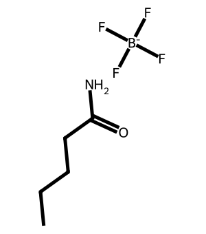 CCCCC(N)=O.F[B-](F)(F)F